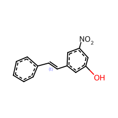 O=[N+]([O-])c1cc(O)cc(/C=C/c2ccccc2)c1